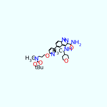 C[C@H](Nc1c(C(N)=O)nnc2ccc(-c3ccc(OCCCN(C)C(=O)OC(C)(C)C)nc3)cc12)C1CCOCC1